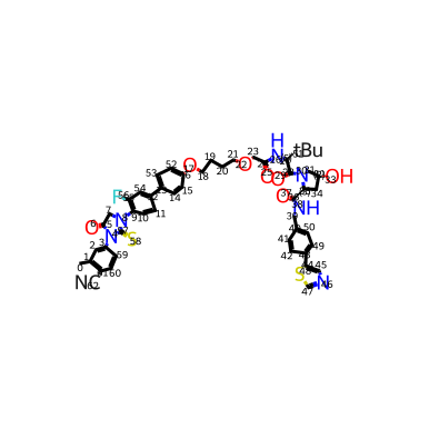 Cc1cc(N2C(=O)CN(c3ccc(-c4ccc(OCCCCOCC(=O)N[C@H](C(=O)N5C[C@H](O)C[C@H]5C(=O)NCc5ccc(-c6cncs6)cc5)C(C)(C)C)cc4)cc3F)C2=S)ccc1C#N